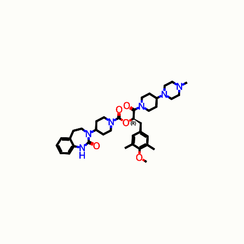 COc1c(C)cc(C[C@@H](OC(=O)N2CCC(N3CCc4ccccc4NC3=O)CC2)C(=O)N2CCC(N3CCN(C)CC3)CC2)cc1C